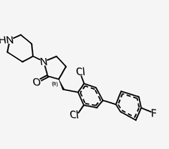 O=C1[C@H](Cc2c(Cl)cc(-c3ccc(F)cc3)cc2Cl)CCN1C1CCNCC1